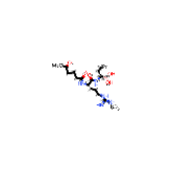 COC(=O)CCCC(=O)N[C@@H](CCCNC(=N)N[N+](=O)[O-])C(=O)N[C@@H](CC(C)C)B(O)O